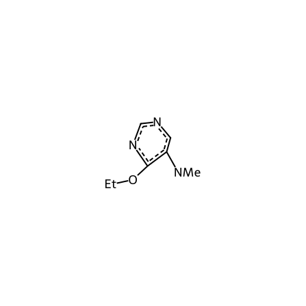 CCOc1ncncc1NC